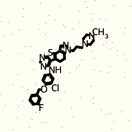 CN1CCN(CCCn2ncc3c2CCc2c-3sc3ncnc(Nc4ccc(OCc5cccc(F)c5)c(Cl)c4)c23)CC1